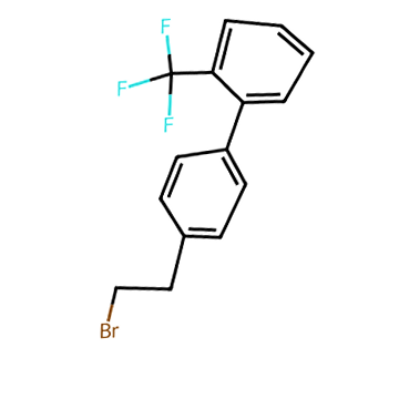 FC(F)(F)c1ccccc1-c1ccc(CCBr)cc1